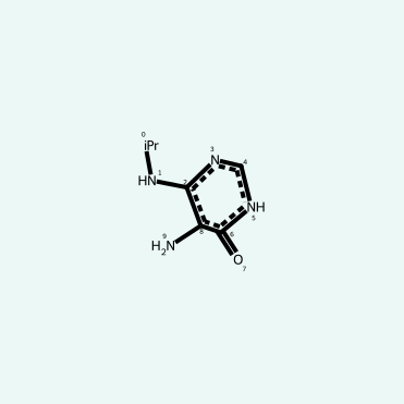 CC(C)Nc1nc[nH]c(=O)c1N